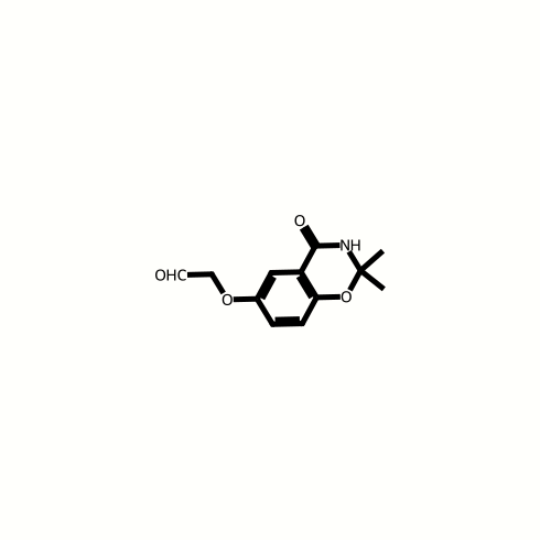 CC1(C)NC(=O)c2cc(OCC=O)ccc2O1